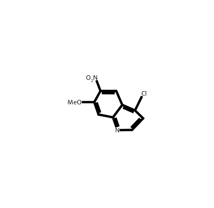 COc1cc2nccc(Cl)c2cc1[N+](=O)[O-]